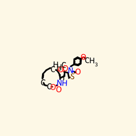 COc1ccc(CN2C(=O)SCC2[C@@]2(OC)C[C@H]3C[C@@H](CCCC=CCCCOC(=O)N3)O2)cc1